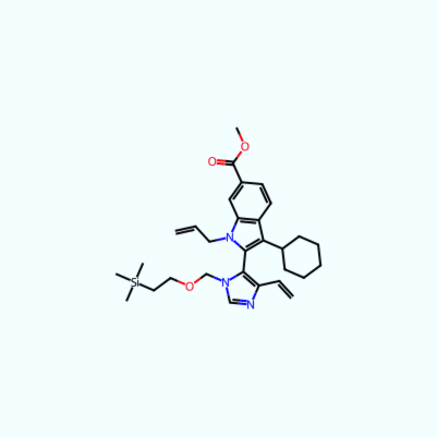 C=CCn1c(-c2c(C=C)ncn2COCC[Si](C)(C)C)c(C2CCCCC2)c2ccc(C(=O)OC)cc21